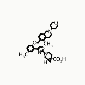 Cc1ccc(OCc2ccc3c(c2C)CCN(C2CCOCC2)C3)c(-c2csc(N3CC[C@@]4(C(=O)O)C[C@H]4C3)n2)c1